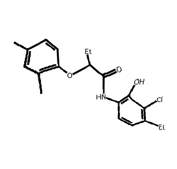 CCc1ccc(NC(=O)C(CC)Oc2ccc(C)cc2C)c(O)c1Cl